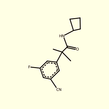 CC(C)(C(=O)NC1CCC1)c1cc(F)cc(C#N)c1